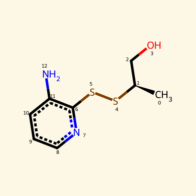 C[C@H](CO)SSc1ncccc1N